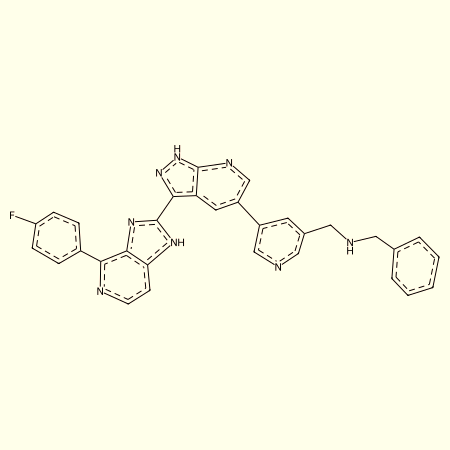 Fc1ccc(-c2nccc3[nH]c(-c4n[nH]c5ncc(-c6cncc(CNCc7ccccc7)c6)cc45)nc23)cc1